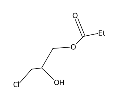 CCC(=O)OCC(O)CCl